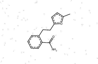 Cc1ccc(CCc2ccccc2C(N)=O)o1